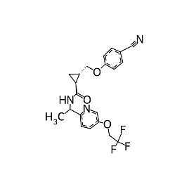 CC(NC(=O)[C@H]1C[C@@H]1COc1ccc(C#N)cc1)c1ccc(OCC(F)(F)F)cn1